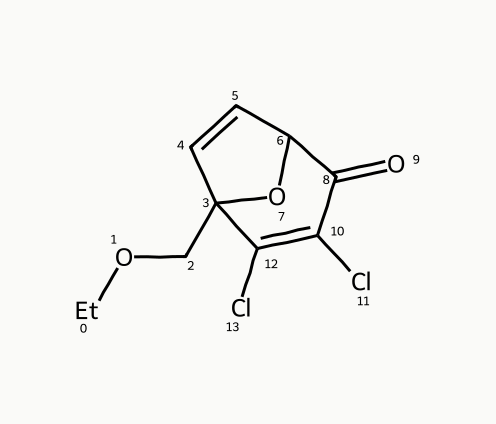 CCOCC12C=CC(O1)C(=O)C(Cl)=C2Cl